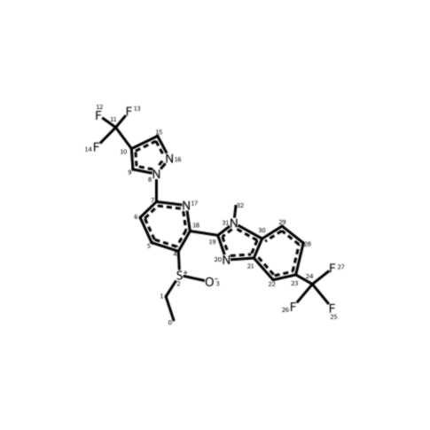 CC[S+]([O-])c1ccc(-n2cc(C(F)(F)F)cn2)nc1-c1nc2cc(C(F)(F)F)ccc2n1C